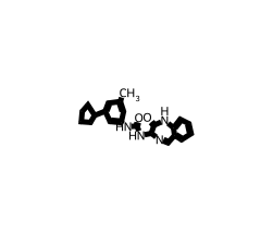 Cc1cc(NC(=O)NC2N=Cc3ccccc3NC2=O)cc(C2CCCC2)c1